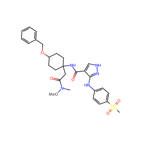 CON(C)C(=O)CC1(NC(=O)c2c[nH]nc2Nc2ccc(S(C)(=O)=O)cc2)CCC(OCc2ccccc2)CC1